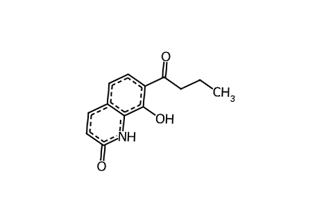 CCCC(=O)c1ccc2ccc(=O)[nH]c2c1O